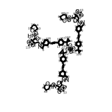 CC(CCn1ncc2cc(C#Cc3ccc(C4(COP(=O)(OCC5(c6ccc(C#Cc7ccc8c(cnn8CCC(C)(C(=O)NOC8CCCCO8)S(C)(=O)=O)c7)cc6)CC5)OCC5(c6ccc(C#Cc7ccc8c(cnn8CCC(C)(C(=O)NOC8CCCCO8)S(C)(=O)=O)c7)cc6)CC5)CC4)cc3)ccc21)(C(=O)NOC1CCCCO1)S(C)(=O)=O